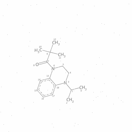 CC(C)N1CCN(C(=O)C(C)(C)C)c2ccccc21